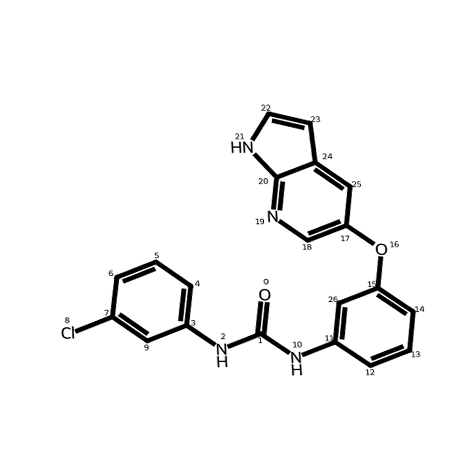 O=C(Nc1cccc(Cl)c1)Nc1cccc(Oc2cnc3[nH]ccc3c2)c1